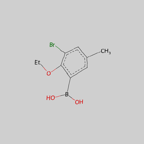 CCOc1c(Br)cc(C)cc1B(O)O